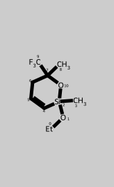 CCO[Si]1(C)C=CCC(C)(C(F)(F)F)O1